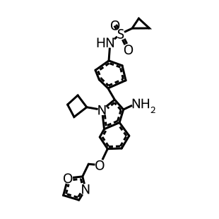 Nc1c(-c2ccc(NS(=O)(=O)C3CC3)cc2)n(C2CCC2)c2cc(OCc3ncco3)ccc12